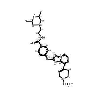 CCOC(=O)N1CC=C(c2cccn3nc(Nc4ccc(C(=O)NCCN5CC(C)OC(C)C5)cc4)nc23)CC1